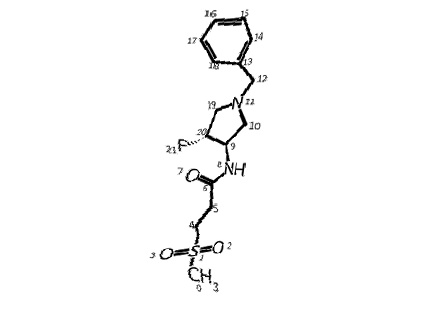 CS(=O)(=O)CCC(=O)N[C@@H]1CN(Cc2ccccc2)C[C@H]1F